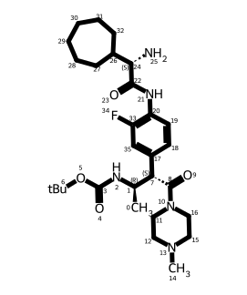 C[C@@H](NC(=O)OC(C)(C)C)[C@@H](C(=O)N1CCN(C)CC1)c1ccc(NC(=O)[C@@H](N)C2CCCCCC2)c(F)c1